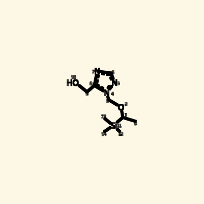 CC(OCn1ncnc1CO)[Si](C)(C)C